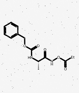 CCC(=O)ONC(=O)[C@H](C)NC(=O)OCc1ccccc1